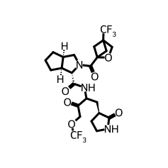 O=C(COC(F)(F)F)C(C[C@@H]1CCNC1=O)NC(=O)[C@@H]1[C@H]2CCC[C@H]2CN1C(=O)C12CC(C(F)(F)F)(CO1)C2